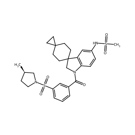 C[C@@H]1CCN(S(=O)(=O)c2cccc(C(=O)N3CC4(CCC5(CC5)CC4)c4cc(NS(C)(=O)=O)ccc43)c2)C1